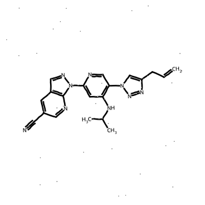 C=CCc1cn(-c2cnc(-n3ncc4cc(C#N)cnc43)cc2NC(C)C)nn1